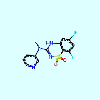 CN(C1=NS(=O)(=O)c2c(F)cc(F)cc2N1)c1cccnc1